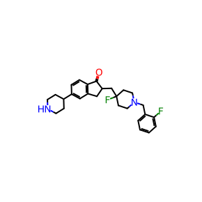 O=C1c2ccc(C3CCNCC3)cc2CC1CC1(F)CCN(Cc2ccccc2F)CC1